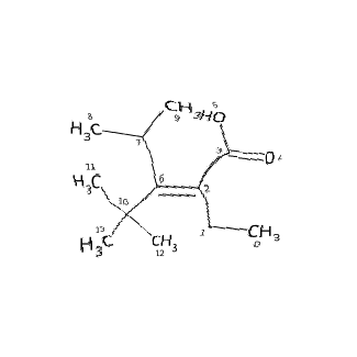 CCC(C(=O)O)=C(C(C)C)C(C)(C)C